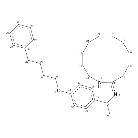 CC(/N=C1/CCCCCCCCCCN1)c1ccc(OCCCCc2ccccc2)cc1